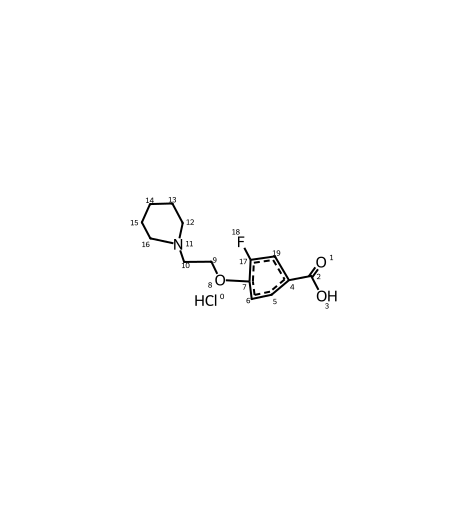 Cl.O=C(O)c1ccc(OCCN2CCCCC2)c(F)c1